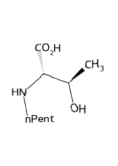 CCCCCN[C@H](C(=O)O)[C@@H](C)O